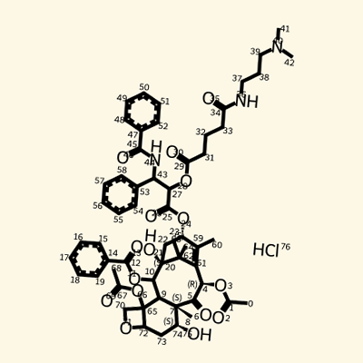 CC(=O)O[C@H]1C(=O)[C@@]2(C)C(C(OC(=O)c3ccccc3)[C@]3(O)C[C@H](OC(=O)C(OC(=O)CCCC(=O)NCCCN(C)C)C(NC(=O)c4ccccc4)c4ccccc4)C(C)=C1C3(C)C)C1(OC(C)=O)COC1C[C@@H]2O.Cl